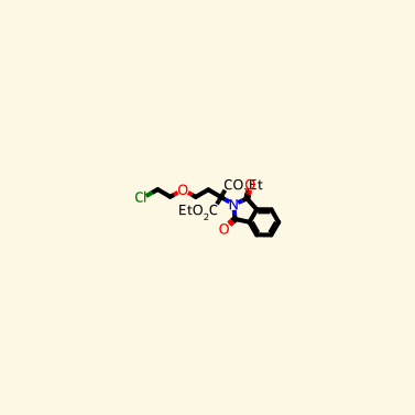 CCOC(=O)C(CCOCCCl)(C(=O)OCC)N1C(=O)c2ccccc2C1=O